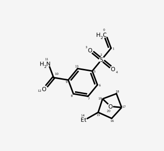 C=CS(=O)(=O)c1cccc(C(N)=O)c1.CCC1CC2CC1O2